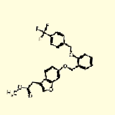 COC(=O)Cc1coc2cc(OCc3ccccc3OCc3ccc(C(F)(F)F)cc3)ccc12